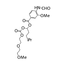 COCCOCCOC(=O)OC(CCC(C)C)OC(=O)c1ccc(NC=O)c(OC)c1